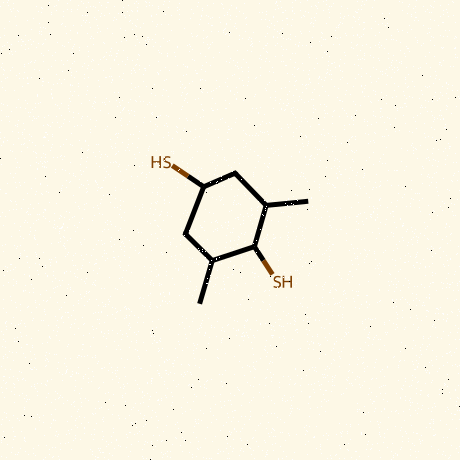 CC1CC(S)CC(C)C1S